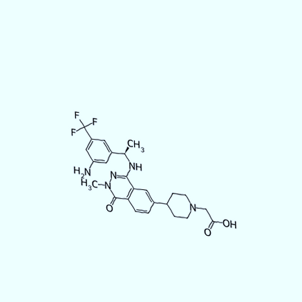 C[C@@H](Nc1nn(C)c(=O)c2ccc(C3CCN(CC(=O)O)CC3)cc12)c1cc(N)cc(C(F)(F)F)c1